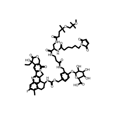 CCC1(O)C(=O)OCc2c1cc1n(c2=O)Cc2c-1nc1cc(F)c(C)c3c1c2C(NC(=O)OCc1ccc(OC2OC(C(=O)O)C(O)C(O)C2O)c(CNC(=O)CCNC(=O)C(CNC(=O)CCC(C)(C)OCC(C)(C)OC)NC(=O)CCCCCN2C(=O)C=CC2=O)c1)CC3